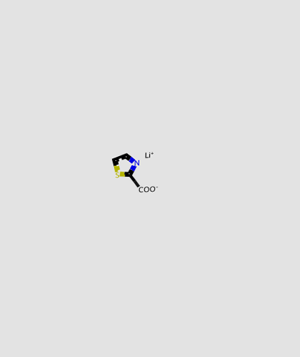 O=C([O-])c1nccs1.[Li+]